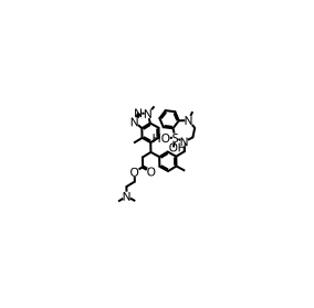 Cc1ccc(C(CC(=O)OCCN(C)C)c2ccc3c(nnn3C)c2C)cc1CN1CCN(C)c2ccccc2S1(O)O